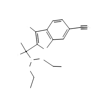 CCOP(OCC)C(F)(F)c1sc2cc(C#N)ccc2c1Br